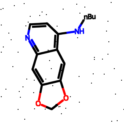 CCCCNc1ccnc2cc3c(cc12)OCO3